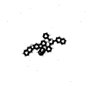 c1ccc(-c2nc(-c3ccc4ccccc4c3)cc(-c3ccccc3-c3cccc4c3C3(c5cc6c(cc5-4)oc4cc5ccccc5cc46)C4CC5CC(C4)CC3C5)n2)cc1